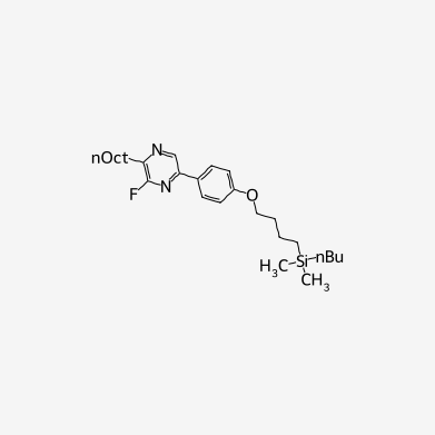 CCCCCCCCc1ncc(-c2ccc(OCCCC[Si](C)(C)CCCC)cc2)nc1F